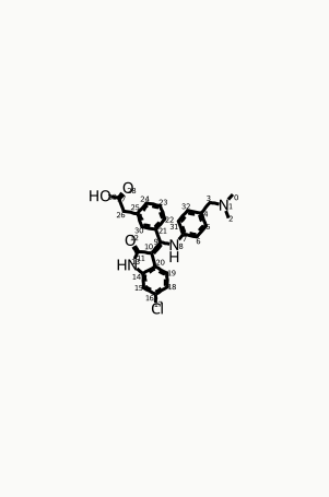 CN(C)Cc1ccc(NC(=C2C(=O)Nc3cc(Cl)ccc32)c2cccc(CC(=O)O)c2)cc1